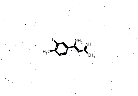 CC(=N)/C=C(\N)c1ccc(C)c(F)c1